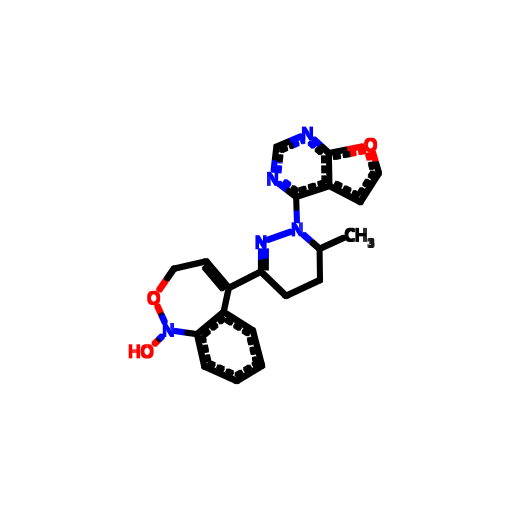 CC1CCC(C2=CCON(O)c3ccccc32)=NN1c1ncnc2occc12